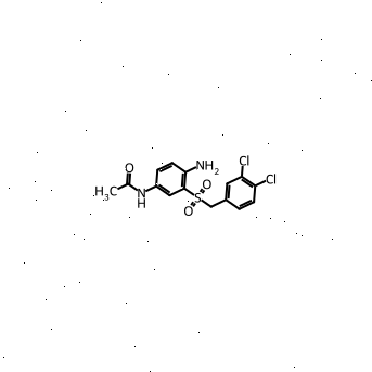 CC(=O)Nc1ccc(N)c(S(=O)(=O)Cc2ccc(Cl)c(Cl)c2)c1